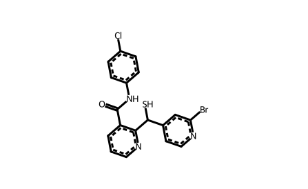 O=C(Nc1ccc(Cl)cc1)c1cccnc1C(S)c1ccnc(Br)c1